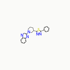 c1ccc(-c2nnc(C3CCCN(c4cnc5ccccc5n4)C3)s2)cc1